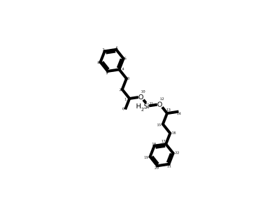 CC(CCc1ccccc1)O[SiH2]OC(C)CCc1ccccc1